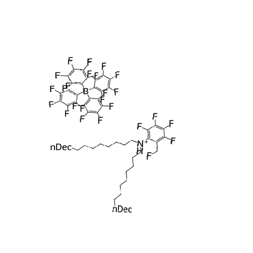 CCCCCCCCCCCCCCCCCC[NH+](CCCCCCCCCCCCCCCCCC)c1c(F)c(F)c(F)c(F)c1CF.Fc1c(F)c(F)c([B-](c2c(F)c(F)c(F)c(F)c2F)(c2c(F)c(F)c(F)c(F)c2F)c2c(F)c(F)c(F)c(F)c2F)c(F)c1F